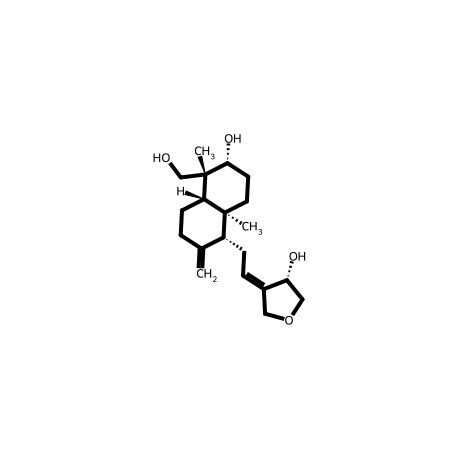 C=C1CC[C@@H]2[C@](C)(CO)[C@H](O)CC[C@@]2(C)[C@@H]1C/C=C1/COC[C@H]1O